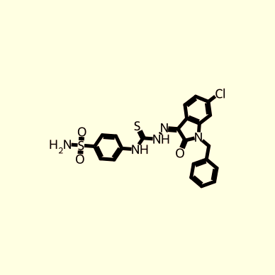 NS(=O)(=O)c1ccc(NC(=S)NN=C2C(=O)N(Cc3ccccc3)c3cc(Cl)ccc32)cc1